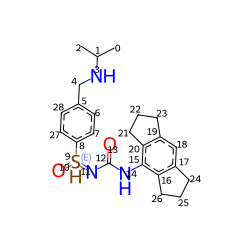 CC(C)NCc1ccc(/[SH](=O)=N\C(=O)Nc2c3c(cc4c2CCC4)CCC3)cc1